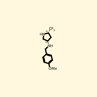 COc1ccc(CN[C@@H]2CN[C@H](C(F)(F)F)C2)cc1